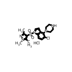 Cc1nn(C)c(C)c1S(=O)(=O)n1ccc2c(N3CCNCC3)c(Cl)ccc21.Cl